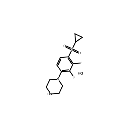 Cl.O=S(=O)(c1ccc(N2CCNCC2)c(F)c1F)C1CC1